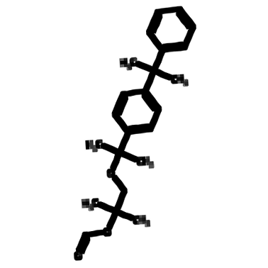 CC(C)(COC(C)(C)c1ccc(C(C)(C)c2ccccc2)cc1)OC=O